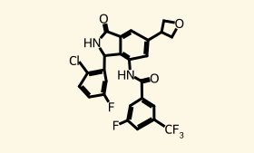 O=C(Nc1cc(C2COC2)cc2c1C(c1cc(F)ccc1Cl)NC2=O)c1cc(F)cc(C(F)(F)F)c1